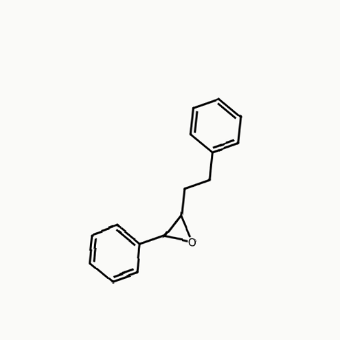 c1ccc(CCC2OC2c2ccccc2)cc1